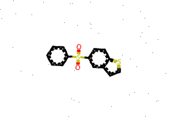 O=S(=O)(c1ccccc1)c1ccc2sccc2c1